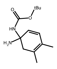 CC1=C(C)CC(N)(NC(=O)OC(C)(C)C)C=C1